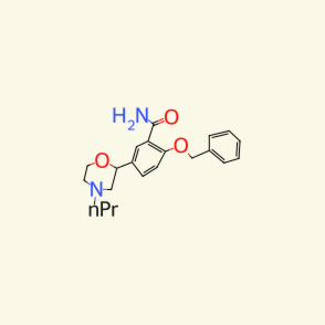 CCCN1CCOC(c2ccc(OCc3ccccc3)c(C(N)=O)c2)C1